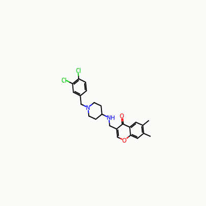 Cc1cc2occ(CNC3CCN(Cc4ccc(Cl)c(Cl)c4)CC3)c(=O)c2cc1C